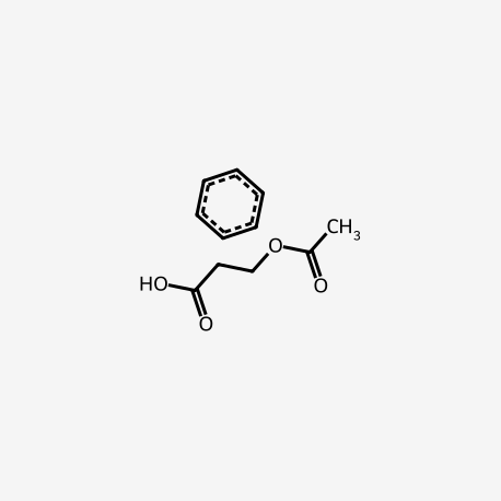 CC(=O)OCCC(=O)O.c1ccccc1